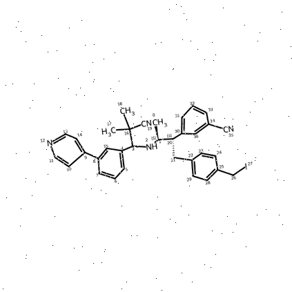 C[C@H](NC(c1cccc(-c2ccncc2)c1)C(C)(C)C#N)[C@@H](Cc1ccc(CI)cc1)c1cccc(C#N)c1